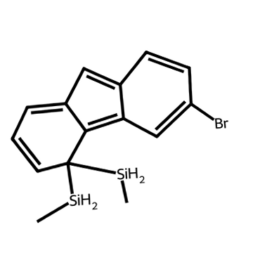 C[SiH2]C1([SiH2]C)C=CC=C2C=c3ccc(Br)cc3=C21